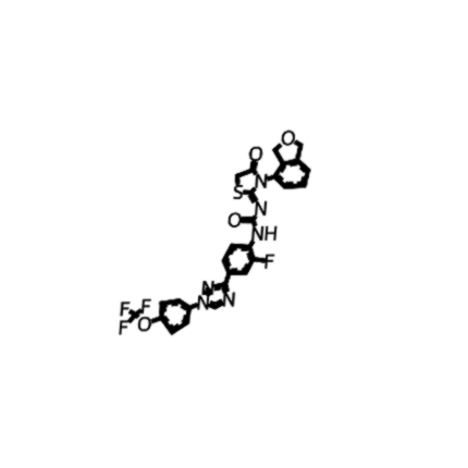 O=C(/N=C1\SCC(=O)N1c1cccc2c1COC2)Nc1ccc(-c2ncn(-c3ccc(OC(F)(F)F)cc3)n2)cc1F